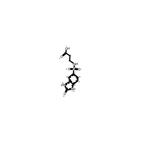 O=C(O)CCNS(=O)(=O)c1ccc2[nH]c(=O)[nH]c2c1